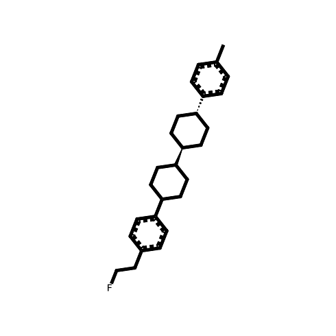 Cc1ccc([C@H]2CC[C@H](C3CCC(c4ccc(CCF)cc4)CC3)CC2)cc1